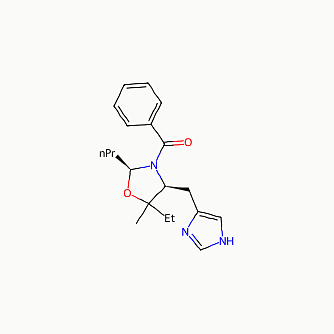 CCC[C@@H]1OC(C)(CC)[C@H](Cc2c[nH]cn2)N1C(=O)c1ccccc1